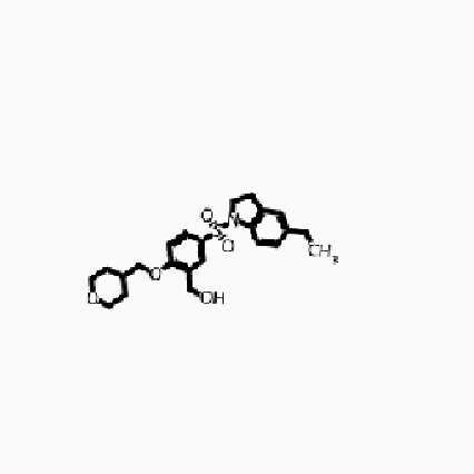 CCc1ccc2c(c1)CCN2S(=O)(=O)c1ccc(OCC2CCOCC2)c(CO)c1